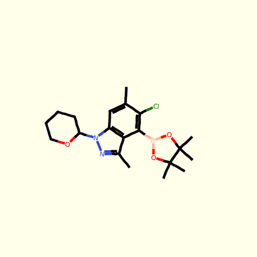 Cc1cc2c(c(C)nn2C2CCCCO2)c(B2OC(C)(C)C(C)(C)O2)c1Cl